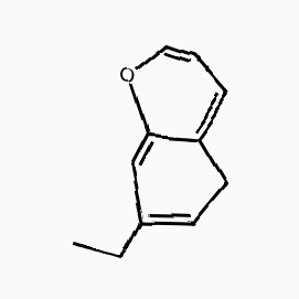 CCC1=CCC2=CC=COC2=C1